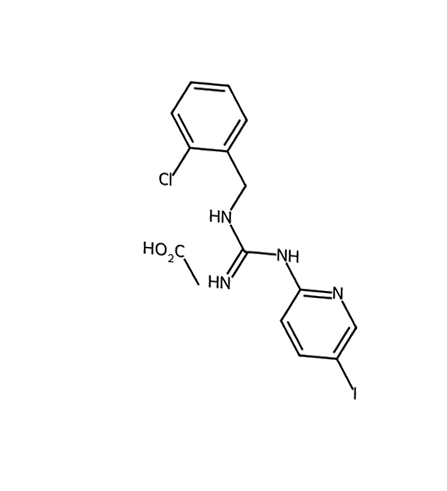 CC(=O)O.N=C(NCc1ccccc1Cl)Nc1ccc(I)cn1